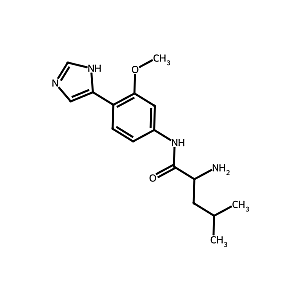 COc1cc(NC(=O)C(N)CC(C)C)ccc1-c1cnc[nH]1